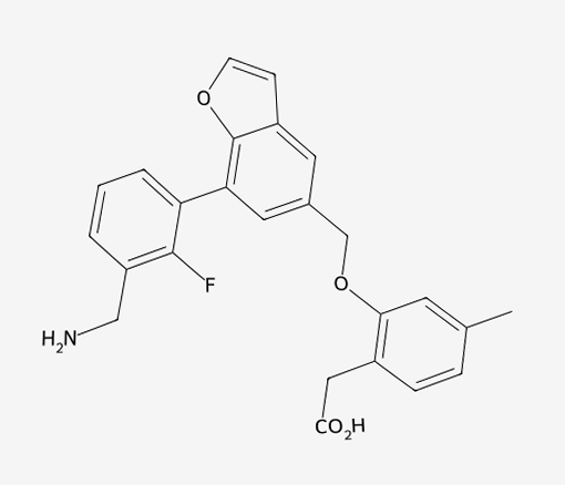 Cc1ccc(CC(=O)O)c(OCc2cc(-c3cccc(CN)c3F)c3occc3c2)c1